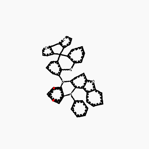 c1ccc(N(c2cccc3c2Sc2ccccc2C32c3ccccc3-c3ccccc32)c2ccc3oc4ccccc4c3c2N(c2ccccc2)c2ccccc2)cc1